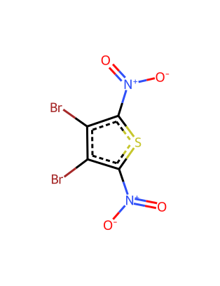 O=[N+]([O-])c1sc([N+](=O)[O-])c(Br)c1Br